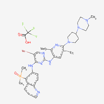 CCc1cc(Nc2ncc(Br)c(Nc3ccc4ncccc4c3P(C)(C)=O)n2)c(OC)nc1N1CCC(N2CCN(C)CC2)CC1.O=C(O)C(F)(F)F